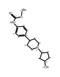 CC(C)(C)OC(=O)Nc1ccc(C2CCN(C3CCC(C#N)C3)CC2)cc1